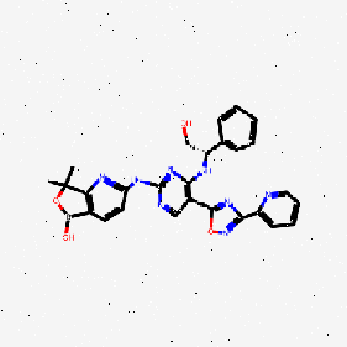 CC1(C)OB(O)c2ccc(Nc3ncc(-c4nc(-c5ccccn5)no4)c(N[C@H](CO)c4ccccc4)n3)nc21